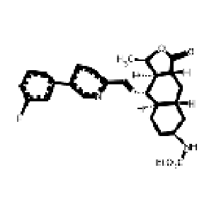 CCOC(=O)N[C@H]1CC[C@@H]2[C@@H](C1)C[C@H]1C(=O)O[C@H](C)[C@@H]1[C@H]2/C=C/c1ccc(-c2cccc(F)c2)cn1